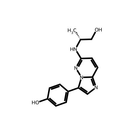 C[C@H](CO)Nc1ccc2ncc(-c3ccc(O)cc3)n2n1